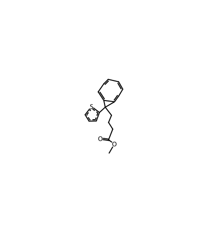 COC(=O)CCCC1(c2cccs2)C2=C/C=C\C=C/C=C\21